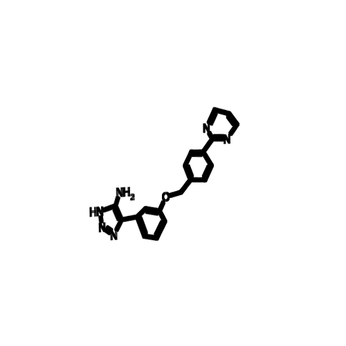 Nc1[nH]nnc1-c1cccc(OCc2ccc(-c3ncccn3)cc2)c1